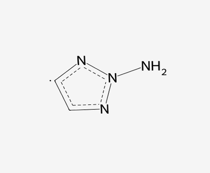 Nn1n[c]cn1